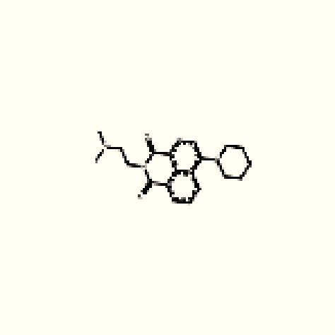 CN(C)CCN1C(=O)c2cccc3c(N4CCCCC4)ccc(c23)C1=O